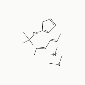 CC=CC=CC.C[C](C)(C)[Ti+2][C]1=CC=CC1.C[N-]C.C[N-]C